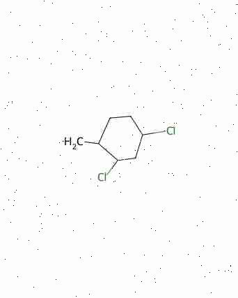 [CH2]C1CCC(Cl)CC1Cl